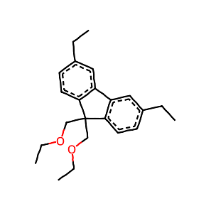 CCOCC1(COCC)c2ccc(CC)cc2-c2cc(CC)ccc21